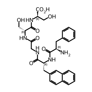 N[C@H](Cc1ccccc1)C(=O)N[C@H](Cc1ccc2ccccc2c1)C(=O)NCC(=O)N[C@H](CO)C(=O)N[C@H](CO)C(=O)O